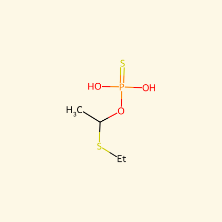 CCSC(C)OP(O)(O)=S